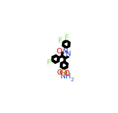 NS(=O)(=O)c1ccc(-c2cnn(-c3ccc(F)c(F)c3)c(=O)c2-c2ccc(F)cc2)cc1